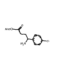 COC(=O)CCC(N)c1ccc(Cl)cc1